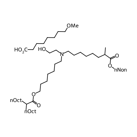 CCCCCCCCCOC(=O)C(C)CCCCCCN(CCO)CCCCCCCOC(=O)C(CCCCCCCC)CCCCCCCC.COCCCCCCCC(=O)O